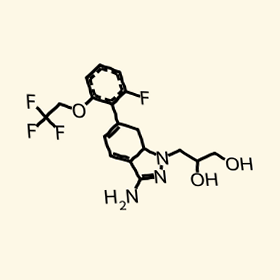 NC1=NN(CC(O)CO)C2CC(c3c(F)cccc3OCC(F)(F)F)=CC=C12